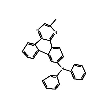 Cc1cnc2c3ccccc3c3cc(N(c4ccccc4)c4ccccc4)ccc3c2n1